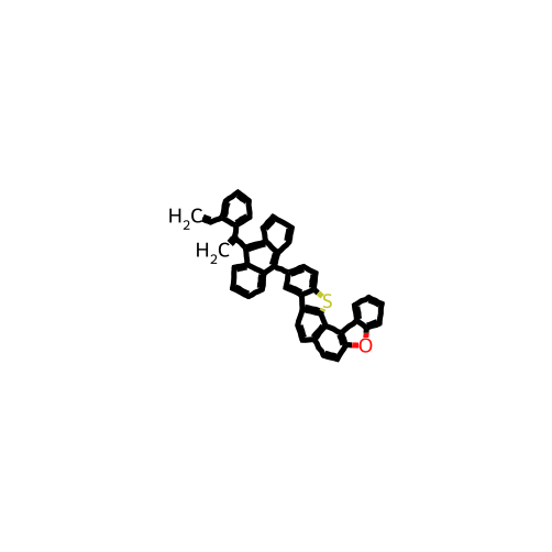 C=Cc1ccccc1C(=C)c1c2ccccc2c(-c2ccc3sc4c(ccc5ccc6oc7ccccc7c6c54)c3c2)c2ccccc12